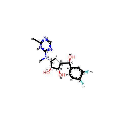 Cc1ncnc(N(C)[C@@H]2C[C@H]([C@@H](O)c3ccc(F)c(F)c3)[C@@H](O)[C@H]2O)n1